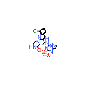 CC(Nc1nc(S(C)(=O)=O)nc2ccnn12)c1cc2cccc(Cl)c2nc1N1CCNC(=O)C1